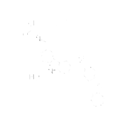 CCn1c2ccc(C(=O)c3ccc(Sc4ccccc4)cc3)cc2c2cc(/C(CCC3CCCC3)=N/OC(C)=O)ccc21